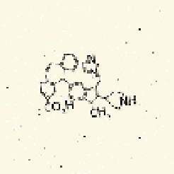 CC1C(C2CCNCC2)=C(Cn2ccnc2)c2cc(C3c4ccccc4C=Cc4ccc(C(=O)O)cc43)ccc21